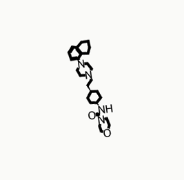 O=C(N[C@H]1CC[C@H](CCN2CCN(c3cccc4c3CCCC4)CC2)CC1)N1CCOCC1